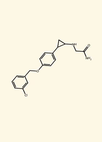 NC(=O)CNC1CC1c1ccc(OCc2cccc(Cl)c2)cc1